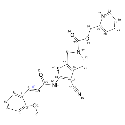 COc1ccccc1/C=C/C(=O)Nc1sc2c(c1C#N)CCN(C(=O)OCc1ccccn1)C2